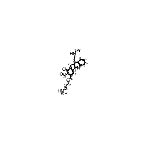 CC(C)NCCc1c2c(nc3ccccc13)-c1cc(COCOONO)c(CO)c(=O)n1C2